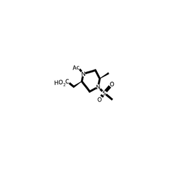 CC(=O)N1C[C@@H](C)N(S(C)(=O)=O)C[C@H]1CC(=O)O